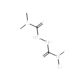 CCN(CC)C(=O)NNC(=O)N(C)C